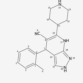 Cc1ccccc1C1C(C#N)=C(C2CCNCC2)Nc2n[nH]cc21